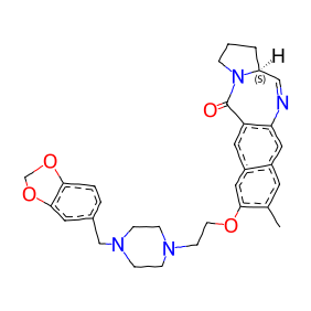 Cc1cc2cc3c(cc2cc1OCCN1CCN(Cc2ccc4c(c2)OCO4)CC1)C(=O)N1CCC[C@H]1C=N3